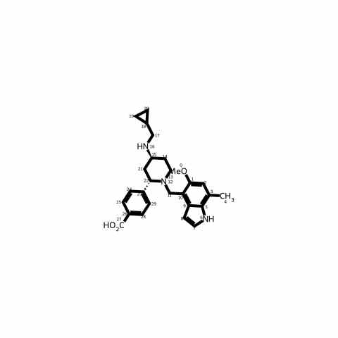 COc1cc(C)c2[nH]ccc2c1CN1CC[C@H](NCC2CC2)C[C@H]1c1ccc(C(=O)O)cc1